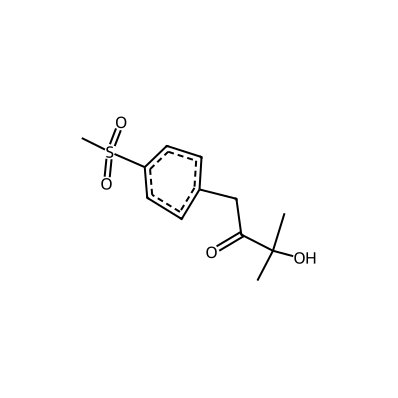 CC(C)(O)C(=O)Cc1ccc(S(C)(=O)=O)cc1